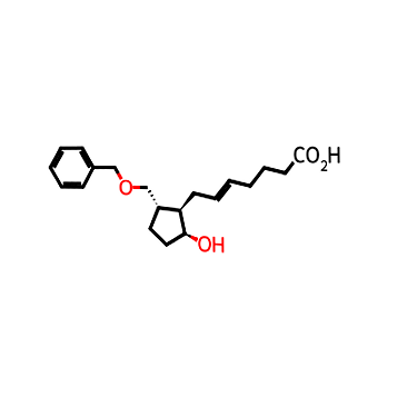 O=C(O)CCCC=CC[C@@H]1[C@@H](COCc2ccccc2)CC[C@@H]1O